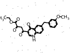 CCOC(=O)C(=O)CC(=O)c1c[nH]c2ccc(Cc3cccc(OC)c3)cc2c1=O